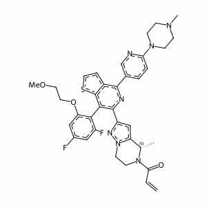 C=CC(=O)N1CCn2nc(-c3nc(-c4ccc(N5CCN(C)CC5)nc4)c4ccsc4c3-c3c(F)cc(F)cc3OCCOC)cc2[C@@H]1C